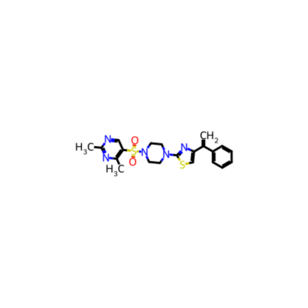 C=C(c1ccccc1)c1csc(N2CCN(S(=O)(=O)c3cnc(C)nc3C)CC2)n1